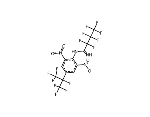 N=C(Nc1c([N+](=O)[O-])cc(C(F)(C(F)(F)F)C(F)(F)F)cc1[N+](=O)[O-])C(F)(F)C(F)(F)C(F)(F)F